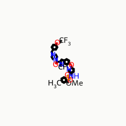 COc1cc(C)ccc1S(=O)(=O)Nc1ccc(Oc2ccc3cc(C(=O)N4CCN(Cc5ccc(OCC(F)(F)F)cc5)CC4)n(C)c3c2)nc1